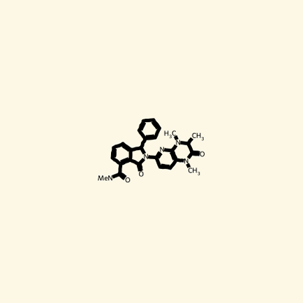 CNC(=O)c1cccc2c1C(=O)N(c1ccc3c(n1)N(C)C(C)C(=O)N3C)C2c1ccccc1